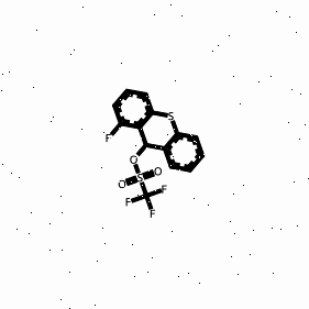 O=S(=O)(OC1c2ccccc2Sc2cccc(F)c21)C(F)(F)F